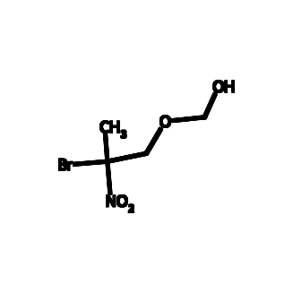 CC(Br)(COCO)[N+](=O)[O-]